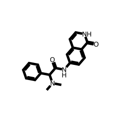 CN(C)C(C(=O)Nc1ccc2c(=O)[nH]ccc2c1)c1ccccc1